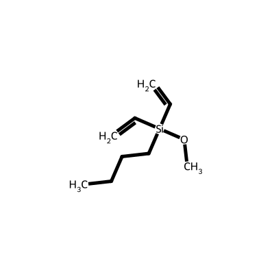 C=C[Si](C=C)(CCCC)OC